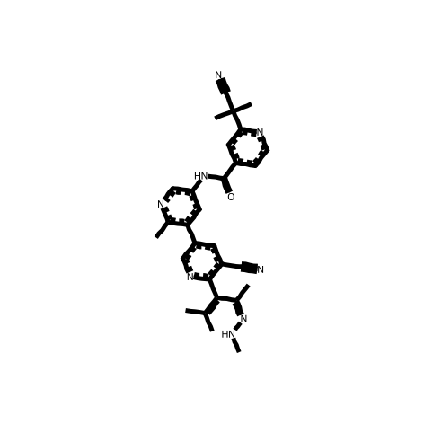 CN/N=C(/C)C(=C(C)C)c1ncc(-c2cc(NC(=O)c3ccnc(C(C)(C)C#N)c3)cnc2C)cc1C#N